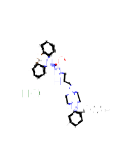 COc1ccccc1N1CCN(CCCNC(=O)N2c3ccccc3Sc3ccccc32)CC1.Cl